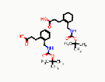 CC(C)(C)OC(=O)NCC1=C(CCC(=O)O)CC=CC1.CC(C)(C)OC(=O)NCC1=C(CCC(=O)O)CCCC1